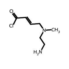 CN(C/C=C/C(=O)Cl)CCN